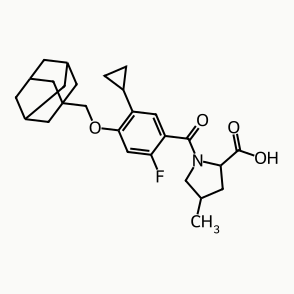 CC1CC(C(=O)O)N(C(=O)c2cc(C3CC3)c(OCC34CC5CC(CC(C5)C3)C4)cc2F)C1